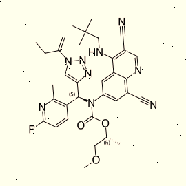 C=C(CC)n1cc([C@H](c2ccc(F)nc2C)N(C(=O)O[C@H](C)COC)c2cc(C#N)c3ncc(C#N)c(NCC(C)(C)C)c3c2)nn1